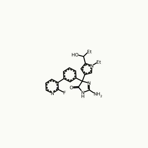 CCC(O)c1cc(C2(c3cccc(-c4cccnc4F)c3)N=C(N)NC2=O)cn1CC